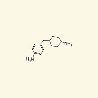 Nc1ccc(CC2CCC(N)CC2)cc1